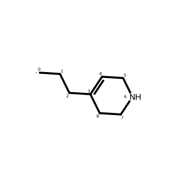 [CH2]CCC1=CCNCC1